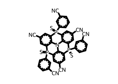 N#Cc1cccc(P2(=S)c3cc(C#N)cc4c3N3c5c2cc(C#N)cc5P(=S)(c2cccc(C#N)c2)c2cc(C#N)cc(c23)P4(=S)c2cccc(C#N)c2)c1